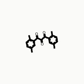 Cc1ccc(C)c(C(=O)C(=O)C(=O)c2cc(C)ccc2C)c1